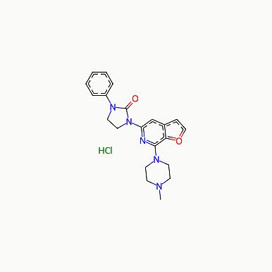 CN1CCN(c2nc(N3CCN(c4ccccc4)C3=O)cc3ccoc23)CC1.Cl